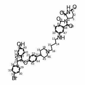 O=C1CCC(N2C(=O)c3ccc(NCCCCN4CCC(c5ccc(Oc6c(-c7ccc(Br)cc7)sc7cc(O)ccc67)cc5)CC4)cc3C2=O)C(=O)N1